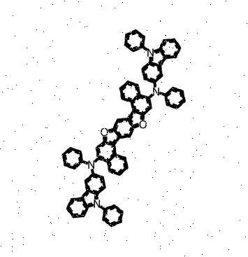 c1ccc(N(c2ccc3c(c2)c2ccccc2n3-c2ccccc2)c2cc3oc4cc5c(cc4c3c3ccccc23)oc2cc(N(c3ccccc3)c3ccc4c(c3)c3ccccc3n4-c3ccccc3)c3ccccc3c25)cc1